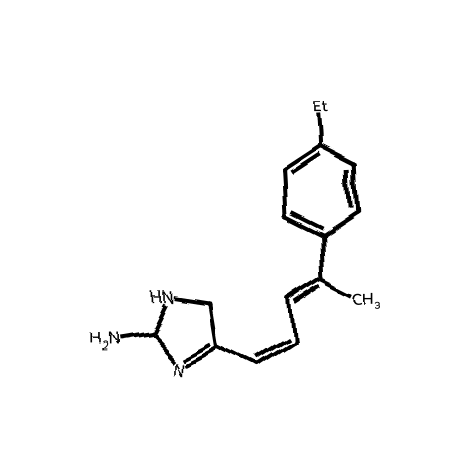 CCc1ccc(/C(C)=C/C=C\C2=NC(N)NC2)cc1